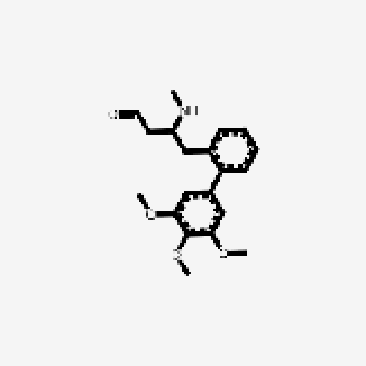 CNC(CC=O)Cc1ccccc1-c1cc(OC)c(OC)c(OC)c1